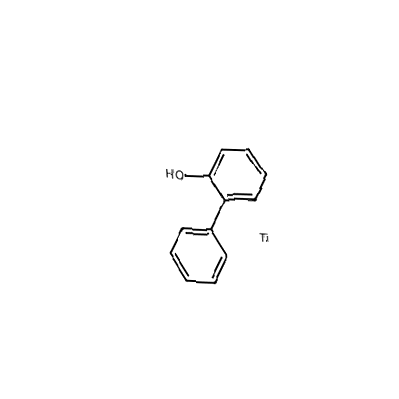 Oc1ccccc1-c1ccccc1.[Ti]